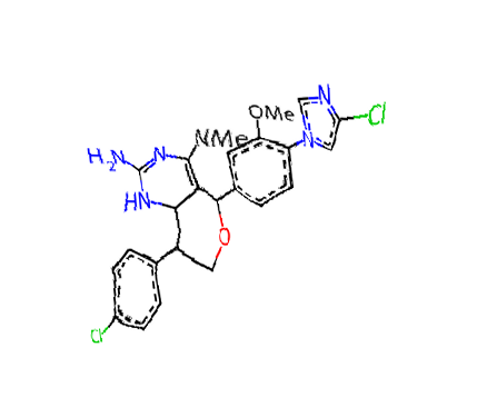 CNC1=C2C(c3ccc(-n4cnc(Cl)c4)c(OC)c3)OCC(c3ccc(Cl)cc3)C2NC(N)=N1